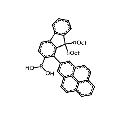 CCCCCCCCC1(CCCCCCCC)c2ccccc2-c2ccc(B(O)O)c(-c3cc4ccc5cccc6ccc(c3)c4c56)c21